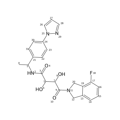 CC(NC(=O)C(O)C(O)C(=O)N1Cc2cccc(F)c2C1)c1ccc(-n2cccn2)cc1